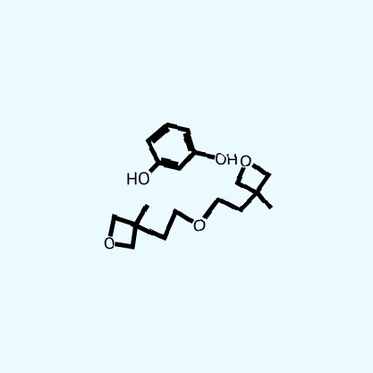 CC1(CCOCCC2(C)COC2)COC1.Oc1cccc(O)c1